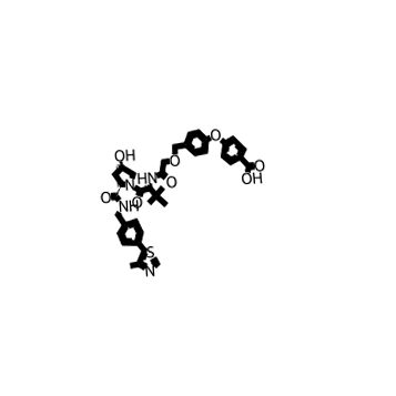 Cc1ncsc1-c1ccc(CNC(=O)[C@@H]2C[C@@H](O)CN2C(=O)[C@@H](NC(=O)COCc2ccc(Oc3ccc(C(=O)O)cc3)cc2)C(C)(C)C)cc1